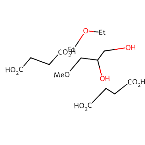 CCOCC.COCC(O)CO.O=C(O)CCC(=O)O.O=C(O)CCC(=O)O